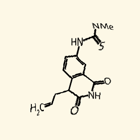 C=CCC1C(=O)NC(=O)c2cc(NC(=S)NC)ccc21